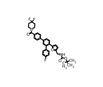 CC(C)(C)OC(=O)NCc1ccc(-c2ccc(-c3ccc(C(=O)N4CCC(F)(F)CC4)cc3)cc2-c2ccc(F)cc2)o1